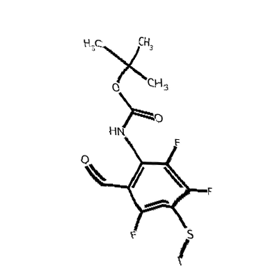 CC(C)(C)OC(=O)Nc1c(F)c(F)c(SI)c(F)c1C=O